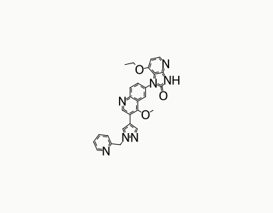 CCOc1ccnc2[nH]c(=O)n(-c3ccc4ncc(-c5cnn(Cc6ccccn6)c5)c(OC)c4c3)c12